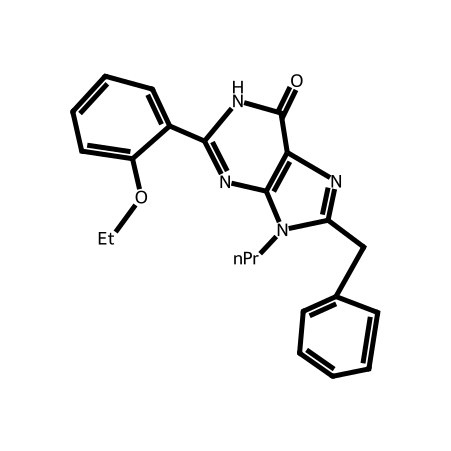 CCCn1c(Cc2ccccc2)nc2c(=O)[nH]c(-c3ccccc3OCC)nc21